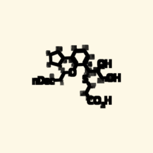 CCCCCCCCCCCCOc1c(C2CCCC2)cccc1[C@@H](SCCC(=O)O)[C@@H](O)CO